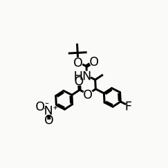 CC(NC(=O)OC(C)(C)C)C(OC(=O)c1ccc([N+](=O)[O-])cc1)c1ccc(F)cc1